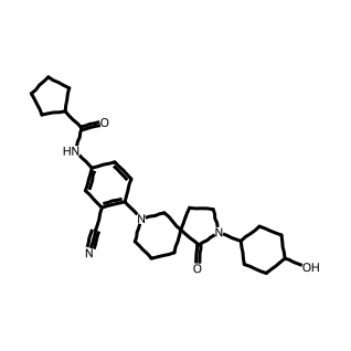 N#Cc1cc(NC(=O)C2CCCC2)ccc1N1CCCC2(CCN(C3CCC(O)CC3)C2=O)C1